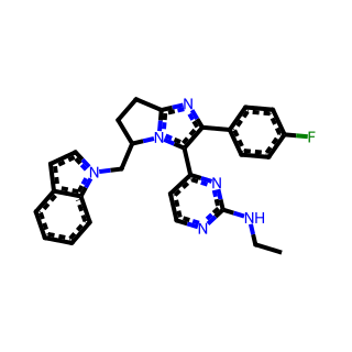 CCNc1nccc(-c2c(-c3ccc(F)cc3)nc3n2C(Cn2ccc4ccccc42)CC3)n1